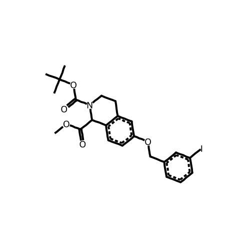 COC(=O)C1c2ccc(OCc3cccc(I)c3)cc2CCN1C(=O)OC(C)(C)C